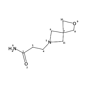 NC(=O)CCN1CC2(COC2)C1